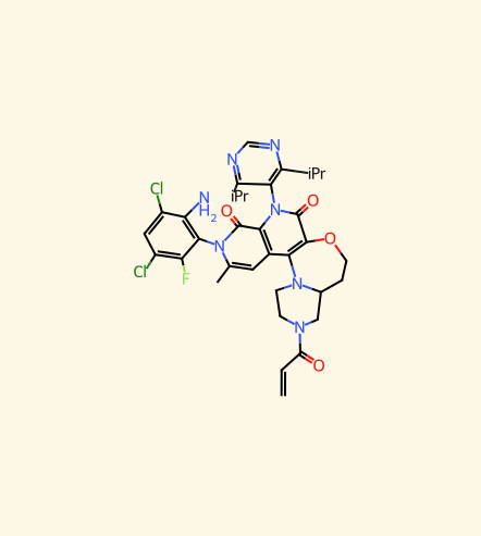 C=CC(=O)N1CCN2c3c(c(=O)n(-c4c(C(C)C)ncnc4C(C)C)c4c(=O)n(-c5c(N)c(Cl)cc(Cl)c5F)c(C)cc34)OCCC2C1